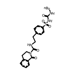 CCCCNC(=O)NS(=O)(=O)c1ccc(CCNC(=O)N2CCc3ccccc3C2=O)cc1